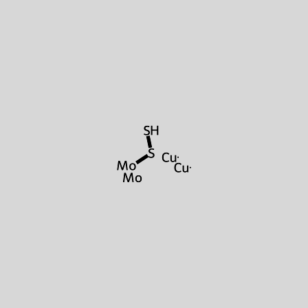 S[S][Mo].[Cu].[Cu].[Mo]